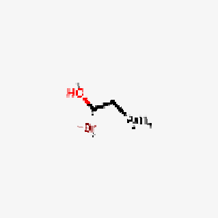 Br.OCC[AsH2]